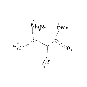 CCC(C(=O)OC)C(C)NC(C)=O